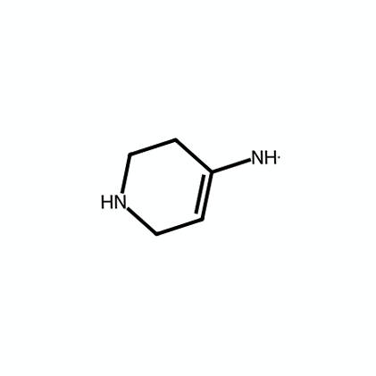 [NH]C1=CCNCC1